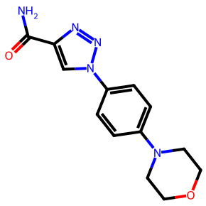 NC(=O)c1cn(-c2ccc(N3CCOCC3)cc2)nn1